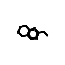 CCc1ncc2c(n1)CCOC2